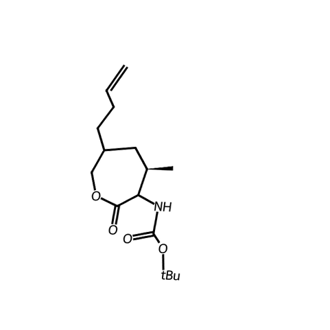 C=CCCC1COC(=O)C(NC(=O)OC(C)(C)C)[C@H](C)C1